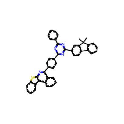 CC1(C)c2ccccc2-c2ccc(-c3nc(-c4ccccc4)nc(-c4ccc(-c5nc6sc7ccccc7c6c6ccccc56)cc4)n3)cc21